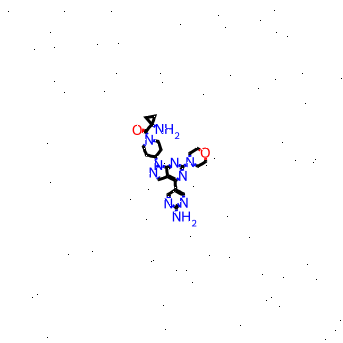 Nc1ncc(-c2nc(N3CCOCC3)nc3c2cnn3C2CCN(C(=O)C3(N)CC3)CC2)cn1